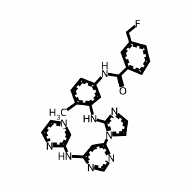 Cc1ccc(NC(=O)c2cccc(CF)c2)cc1Nc1nccn1-c1cc(Nc2cnccn2)ncn1